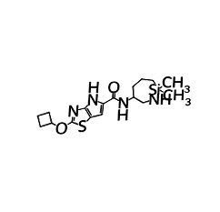 C[Si]1(C)CCCC(NC(=O)c2cc3sc(OC4CCC4)nc3[nH]2)CN1